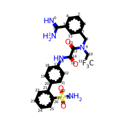 N=C(N)c1cccc(CN(CC(F)(F)F)C(=O)C(=O)Nc2ccc(-c3ccccc3S(N)(=O)=O)cc2)c1